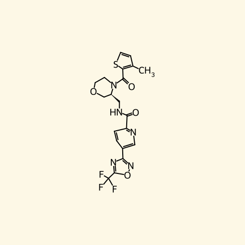 Cc1ccsc1C(=O)N1CCOC[C@@H]1CNC(=O)c1ccc(-c2noc(C(F)(F)F)n2)cn1